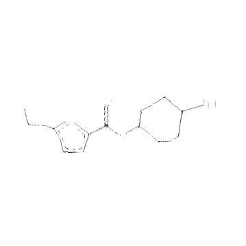 CCc1ccc(C(=O)NC2CCC(N)CC2)s1